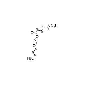 CC=CCOCCOC(=O)CCCCC(=O)O